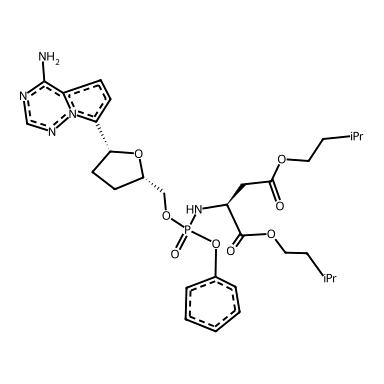 CC(C)CCOC(=O)C[C@H](NP(=O)(OC[C@@H]1CC[C@H](c2ccc3c(N)ncnn23)O1)Oc1ccccc1)C(=O)OCCC(C)C